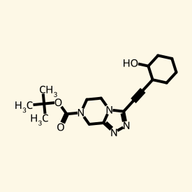 CC(C)(C)OC(=O)N1CCn2c(C#CC3CCCCC3O)nnc2C1